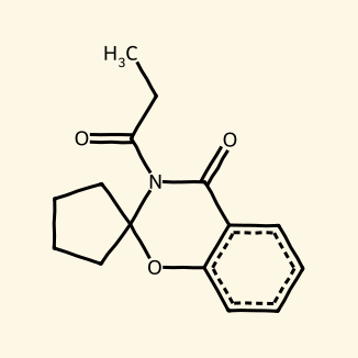 CCC(=O)N1C(=O)c2ccccc2OC12CCCC2